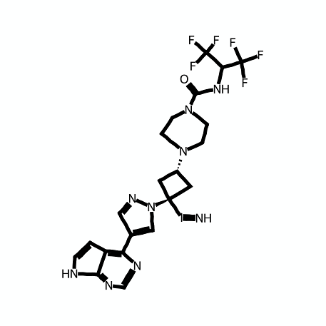 N=I[C@]1(n2cc(-c3ncnc4[nH]ccc34)cn2)C[C@H](N2CCN(C(=O)NC(C(F)(F)F)C(F)(F)F)CC2)C1